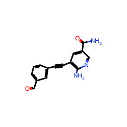 NC(=O)c1cnc(N)c(C#Cc2cccc(C=O)c2)c1